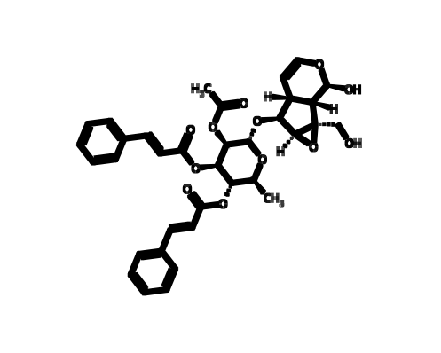 CC(=O)O[C@H]1[C@H](O[C@H]2[C@@H]3C=CO[C@@H](O)[C@@H]3[C@@]3(CO)O[C@@H]23)O[C@@H](C)[C@H](OC(=O)/C=C/c2ccccc2)[C@H]1OC(=O)/C=C/c1ccccc1